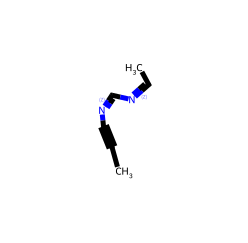 CC#C/N=C\N=C/C